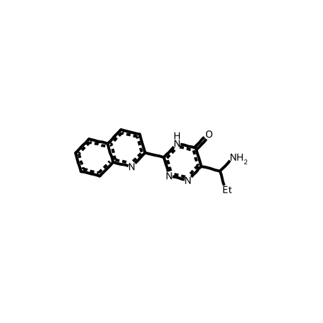 CCC(N)c1nnc(-c2ccc3ccccc3n2)[nH]c1=O